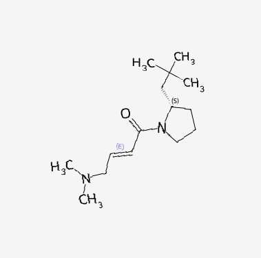 CN(C)C/C=C/C(=O)N1CCC[C@H]1CC(C)(C)C